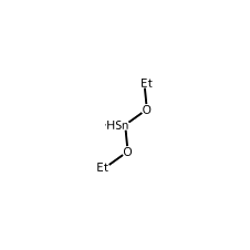 CC[O][SnH][O]CC